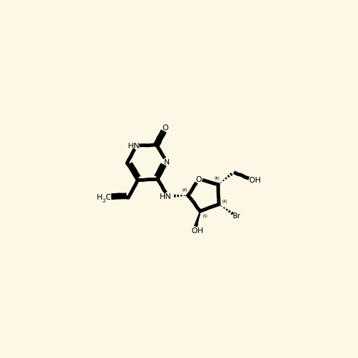 C=Cc1c[nH]c(=O)nc1N[C@@H]1O[C@H](CO)[C@H](Br)[C@H]1O